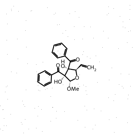 C=C[C@H]1O[C@H](OC)[C@@](O)(C(=O)c2ccccc2)[C@@]1(O)C(=O)c1ccccc1